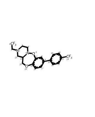 FC(F)(F)CN1CCN2Oc3cc(-c4ccc(C(F)(F)F)cc4)ccc3OCC2C1